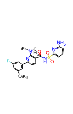 CC(C)COc1cc(F)cc(-c2ccc(C(=O)NS(=O)(=O)c3cccc(N)n3)c(N(C)C(C)C)n2)c1